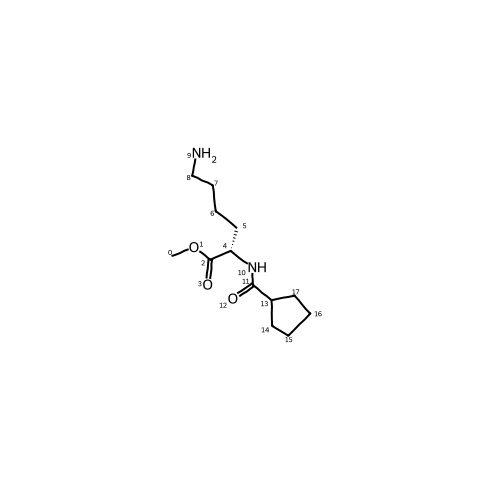 COC(=O)[C@H](CCCCN)NC(=O)C1CCCC1